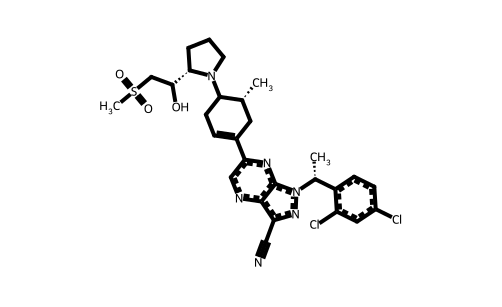 C[C@@H]1CC(c2cnc3c(C#N)nn([C@H](C)c4ccc(Cl)cc4Cl)c3n2)=CCC1N1CCC[C@H]1C(O)CS(C)(=O)=O